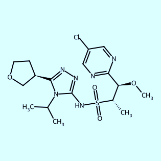 CO[C@H](c1ncc(Cl)cn1)[C@H](C)S(=O)(=O)Nc1nnc([C@@H]2CCOC2)n1C(C)C